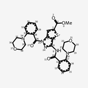 COC(=O)c1cc2c(s1)c(NC(=O)c1ccccc1N1CCOCC1)nn2C(=O)c1ccccc1N1CCOCC1